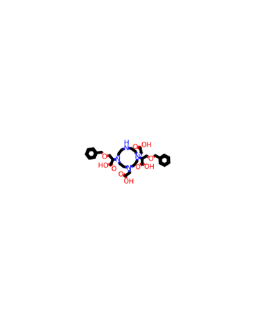 O=C(O)CN1CCN(C(COCc2ccccc2)C(=O)O)CCNCC[N+](CC(=O)O)(C(COCc2ccccc2)C(=O)O)CC1